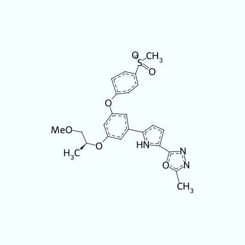 COC[C@H](C)Oc1cc(Oc2ccc(S(C)(=O)=O)cc2)cc(-c2ccc(-c3nnc(C)o3)[nH]2)c1